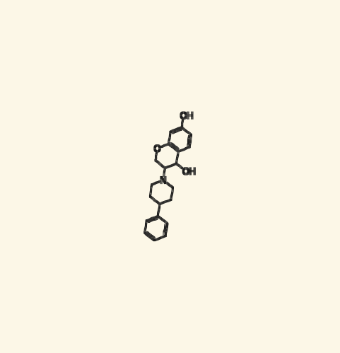 Oc1ccc2c(c1)OCC(N1CCC(c3ccccc3)CC1)C2O